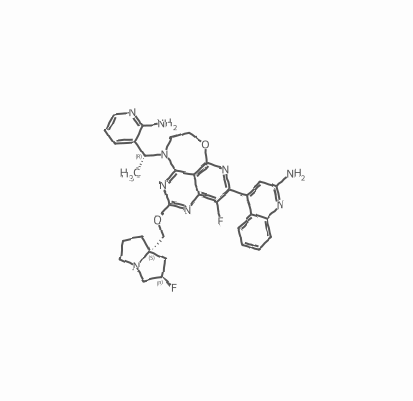 C[C@H](c1cccnc1N)N1CCOc2nc(-c3cc(N)nc4ccccc34)c(F)c3nc(OC[C@@]45CCCN4C[C@H](F)C5)nc1c23